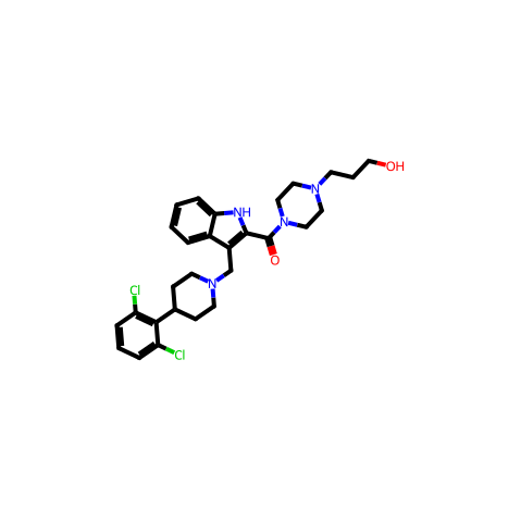 O=C(c1[nH]c2ccccc2c1CN1CCC(c2c(Cl)cccc2Cl)CC1)N1CCN(CCCO)CC1